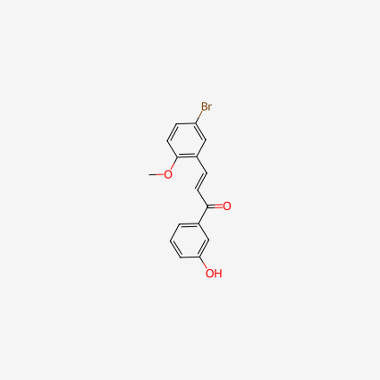 COc1ccc(Br)cc1/C=C/C(=O)c1cccc(O)c1